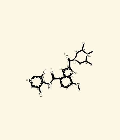 COc1ccc(C(=O)Nc2c(Cl)cncc2Cl)c2cc(C(=O)N3CC(C)N(C)C(C)C3)oc12